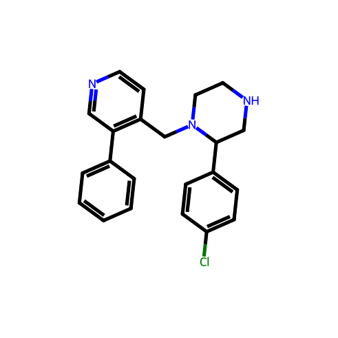 Clc1ccc(C2CNCCN2Cc2ccncc2-c2ccccc2)cc1